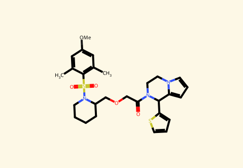 COc1cc(C)c(S(=O)(=O)N2CCCCC2COCC(=O)N2CCn3cccc3C2c2cccs2)c(C)c1